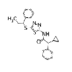 CCC(Sc1nnc(NC(=O)C(c2ccccc2)C2CC2)s1)c1ccccc1